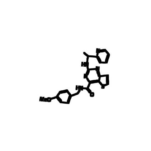 COc1ccc(CNC(=O)c2nc(NC(C)c3ccccn3)nc3ccsc23)cc1